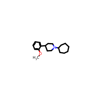 COc1ccccc1C1CCN(C2CCCCCC2)CC1